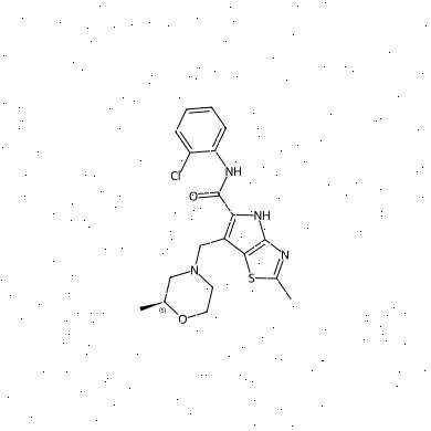 Cc1nc2[nH]c(C(=O)Nc3ccccc3Cl)c(CN3CCO[C@@H](C)C3)c2s1